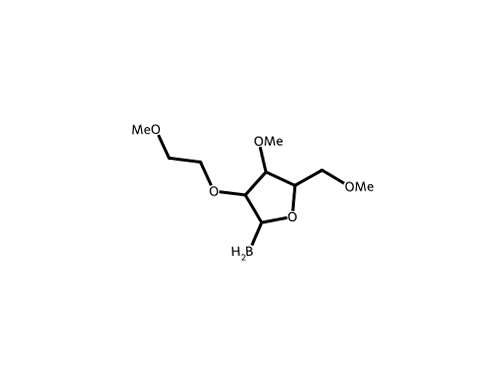 BC1OC(COC)C(OC)C1OCCOC